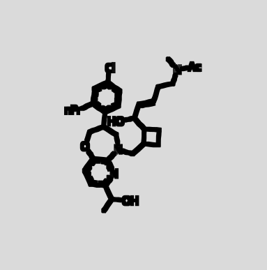 CCCc1cc(Cl)ccc1C1COc2ccc(C(C)O)nc2N(CC2CCC2C(O)/C=C/CCN(C)C(C)=O)C1